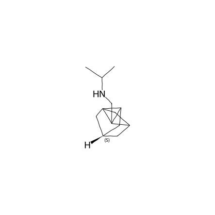 CC(C)NCC12C3C[C@H]4CC1C2(C3)C4